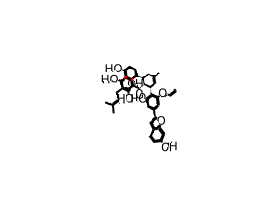 C=COc1cc(-c2cc3ccc(O)cc3o2)cc(O)c1[C@H]1C=C(C)C[C@H](c2ccc(O)cc2O)[C@H]1C(=O)c1ccc(O)c(CC=C(C)C)c1O